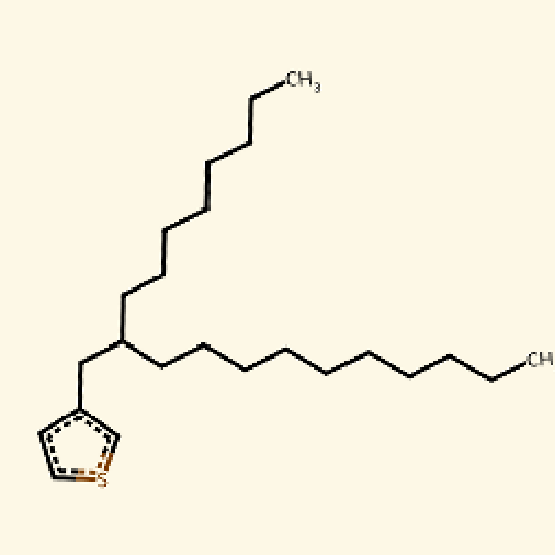 CCCCCCCCCCC(CCCCCCCC)Cc1ccsc1